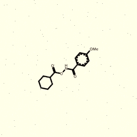 COc1ccc(C(=O)NOC(=O)C2CCCCC2)cc1